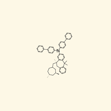 C[C@@H]1CCC(C[C@]2(C)Cc3ccccc3C(C)(C)c3ccc(N(c4ccc(-c5ccccc5)cc4)c4ccc(-c5ccccc5)cc4)cc32)C[C@@H](C)C1